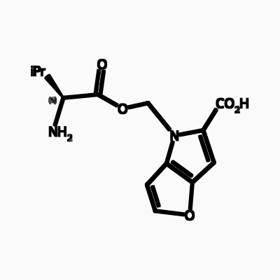 CC(C)[C@H](N)C(=O)OCn1c(C(=O)O)cc2occc21